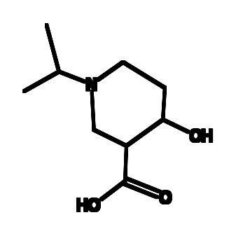 CC(C)N1CCC(O)C(C(=O)O)C1